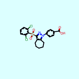 O=C(O)c1ccc(-n2nc(S(=O)(=O)c3c(Cl)cccc3Cl)c3c2CCCCC3)cc1